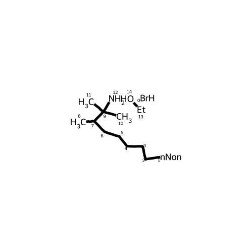 Br.CCCCCCCCCCCCCCC(C)C(C)(C)N.CCO